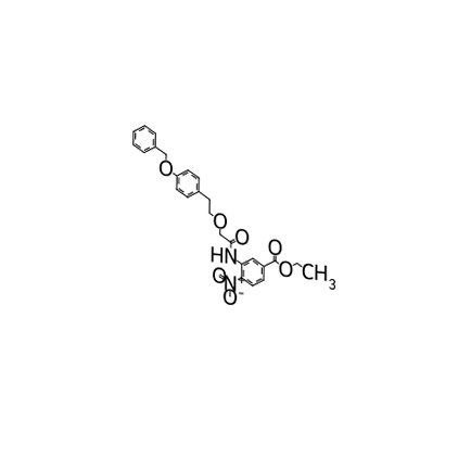 CCOC(=O)c1ccc([N+](=O)[O-])c(NC(=O)COCCc2ccc(OCc3ccccc3)cc2)c1